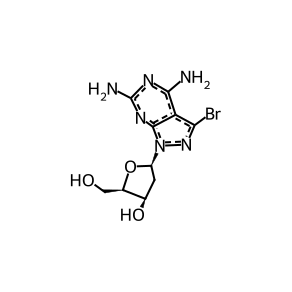 Nc1nc(N)c2c(Br)nn([C@H]3C[C@@H](O)[C@@H](CO)O3)c2n1